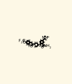 Cn1cnc(-c2ccc(OC3CCN(C(=O)Cc4ccc(OC(F)(F)F)cc4F)CC3)c(C(N)=O)c2)c1